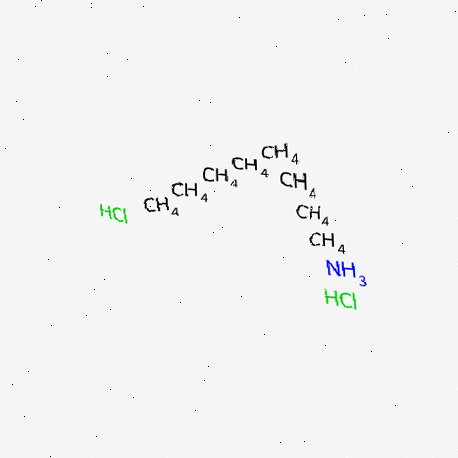 C.C.C.C.C.C.C.C.Cl.Cl.N